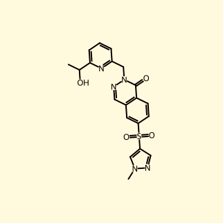 CC(O)c1cccc(Cn2ncc3cc(S(=O)(=O)c4cnn(C)c4)ccc3c2=O)n1